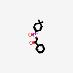 CC1(C)C=CC(/[P+]([O-])=C/C(=O)c2ccccc2)=CC1